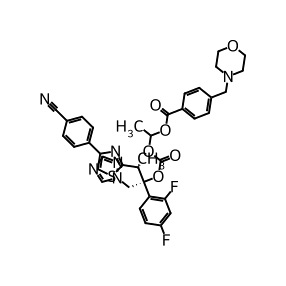 CC(OC(=O)O[C@@](Cn1cncn1)(c1ccc(F)cc1F)[C@@H](C)c1nc(-c2ccc(C#N)cc2)cs1)OC(=O)c1ccc(CN2CCOCC2)cc1